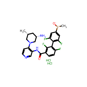 C[C@@H]1C[C@H](N)CN(c2ccncc2NC(=O)c2ccc(F)c(-c3c(F)cc([S+](C)[O-])cc3F)c2F)C1.Cl.Cl